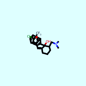 CN(C)CC1CCC/C(=C/c2ccccc2)C1(O)c1ccc(Cl)c(C(F)(F)F)c1